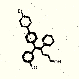 CCN1CCC(c2ccc(/C(=C(/CCCO)C3=CCCC=C3)c3cccc(N=O)c3)cc2)CC1